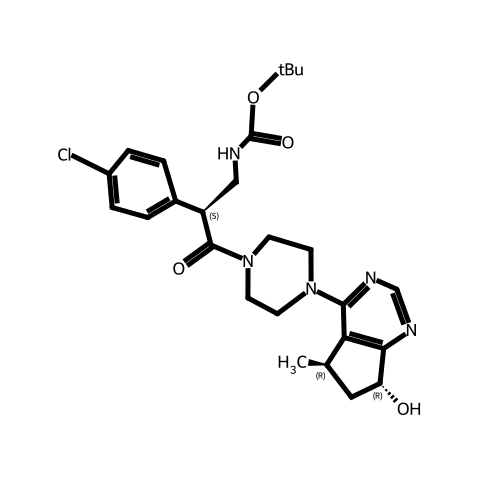 C[C@@H]1C[C@@H](O)c2ncnc(N3CCN(C(=O)[C@H](CNC(=O)OC(C)(C)C)c4ccc(Cl)cc4)CC3)c21